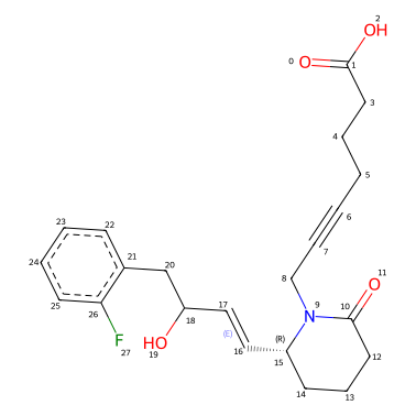 O=C(O)CCCC#CCN1C(=O)CCC[C@@H]1/C=C/C(O)Cc1ccccc1F